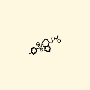 CC(=O)OC[C@@H]1CCCN(S(=O)(=O)c2ccc(C)cc2)c2ccccc21